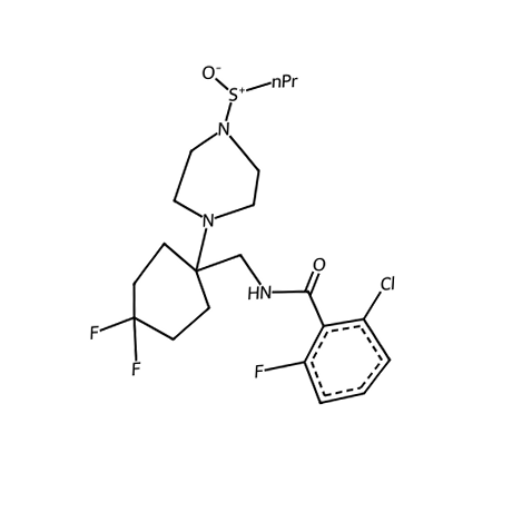 CCC[S+]([O-])N1CCN(C2(CNC(=O)c3c(F)cccc3Cl)CCC(F)(F)CC2)CC1